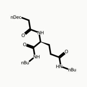 CCCCCCCCCCCC(=O)N[C@@H](CCC(=O)NCCCC)C(=O)NCCCC